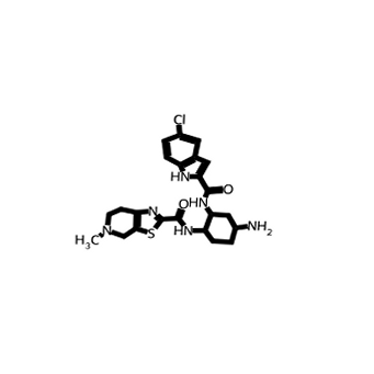 CN1CCc2nc(C(=O)NC3CCC(N)CC3NC(=O)c3cc4cc(Cl)ccc4[nH]3)sc2C1